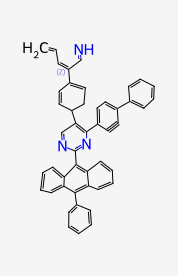 C=C/C=C(\C=N)C1=CCC(c2cnc(-c3c4ccccc4c(-c4ccccc4)c4ccccc34)nc2-c2c#cc(-c3ccccc3)cc2)C=C1